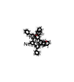 Cc1ccccc1-c1ccc2c(c1)c1cc(-c3ccccc3C)ccc1n2-c1c(-c2nc(-c3ccccc3)cc(-c3ccccc3)n2)cc(C#N)cc1-c1nc(-c2ccccc2)cc(-c2ccccc2)n1